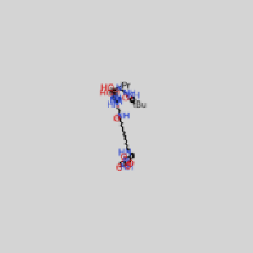 CC(C)N(CCCNC(=O)Nc1ccc(C(C)(C)C)cc1)C[C@H]1O[C@H](n2cnc3c(NCCCCNC(=O)CCCCCCCCCCCCCCCNc4cccc5c4C(=O)N(C4CCC(=O)NC4=O)C5=O)ncnc32)[C@H](O)[C@@H]1O